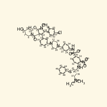 Cc1c(C(=O)N2CCC(O)CC2)c(-c2cccc(N3CCN(c4ccc(NS(=O)(=O)c5ccc(N[C@H](CCN(C)C)CSc6ccccc6)c([N+](=O)[O-])c5)cc4)CC3)c2)c(-c2ccc(Cl)cc2)n1C